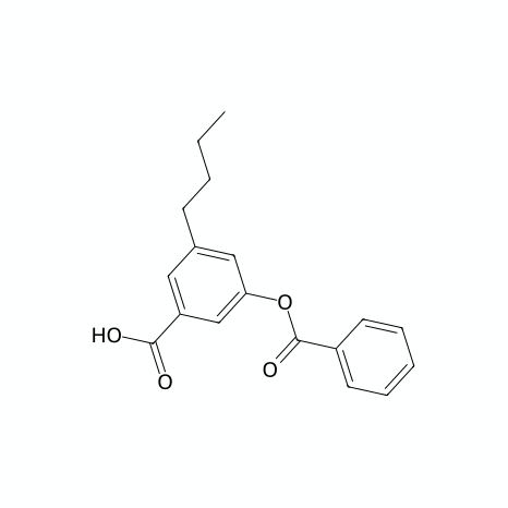 CCCCc1cc(OC(=O)c2ccccc2)cc(C(=O)O)c1